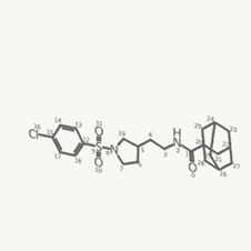 O=C(NCCC1CCN(S(=O)(=O)c2ccc(Cl)cc2)C1)C12CC3CC(CC(C3)C1)C2